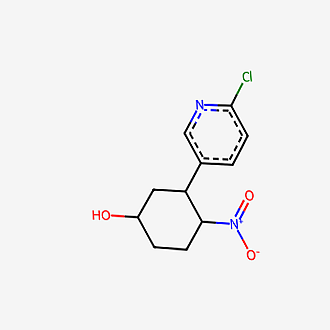 O=[N+]([O-])C1CCC(O)CC1c1ccc(Cl)nc1